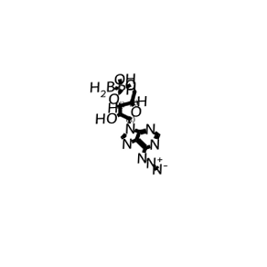 B[PH]1(O)OC[C@H]2O[C@@H](n3cnc4c(N=[N+]=[N-])ncnc43)C(O)[C@@H]2O1